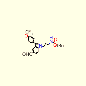 CC(C)(C)OC(=O)NCCCn1cc(-c2ccc(OC(F)(F)F)cc2)c2cc(C=O)ccc21